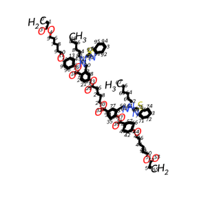 C=CC(=O)OCCCCCCOc1ccc(OC(=O)c2ccc(OC(=O)CCCCOC(=O)c3ccc(OC(=O)c4ccc(OCCCCCCOC(=O)C=C)cc4)c(/C=N/N(CCCCCC)c4nc5ccccc5s4)c3)cc2/C=N/N(CCCCCC)c2nc3ccccc3s2)cc1